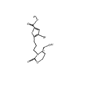 CC(=O)OC[C@H]1CCOC(=O)N1CCCc1sc(C(=O)OC(C)C)cc1Br